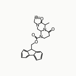 CCC(C)CN1CC2N(C(=O)OCC3c4ccccc4-c4ccccc43)CCC(=O)N2C(C)C1=O